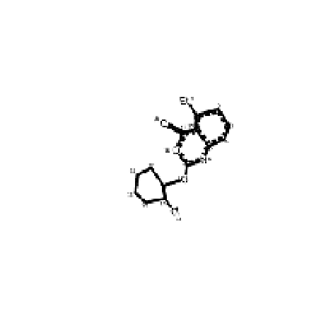 CCc1cccc2nc(OC3CCCCC3Cl)oc(=O)c12